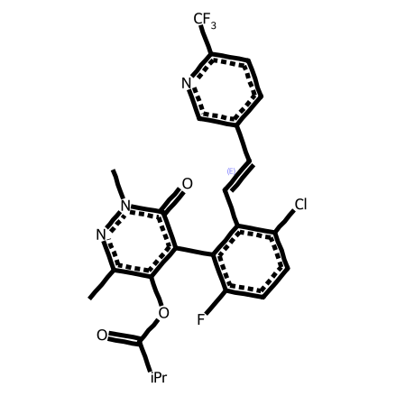 Cc1nn(C)c(=O)c(-c2c(F)ccc(Cl)c2/C=C/c2ccc(C(F)(F)F)nc2)c1OC(=O)C(C)C